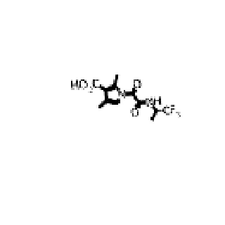 Cc1cn(C(=O)C(=O)N[C@@H](C)C(F)(F)F)c(C)c1C(=O)O